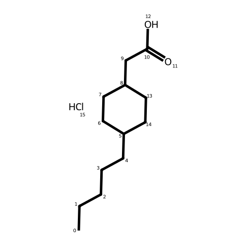 CCCCCC1CCC(CC(=O)O)CC1.Cl